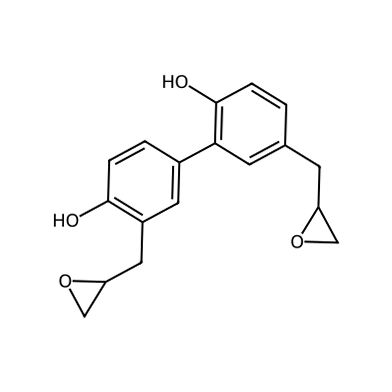 Oc1ccc(-c2cc(CC3CO3)ccc2O)cc1CC1CO1